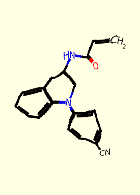 C=CC(=O)NC1Cc2ccccc2N(c2ccc(C#N)cc2)C1